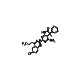 CC1(c2ccccc2)C(=O)Nc2nc(NN=C(CCC(F)(F)F)c3cc(Cl)ccc3Br)nc(N)c21